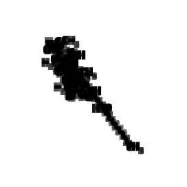 CCCCCCCCCCCCCCCC(=O)NCCCCCC(=O)NCCCCC(NC(=O)[C@H](CC)NC(=O)C(NC(=O)[C@H](Cc1cnc[nH]1)NC(=O)[C@H](CC)NC(=O)[C@H](CCC(=O)O)NC(=O)CC(C)C)C(c1ccccc1)c1ccccc1)C(=O)NC(C(=O)NC)C(c1ccccc1)c1ccccc1